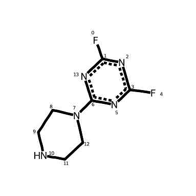 Fc1nc(F)nc(N2CCNCC2)n1